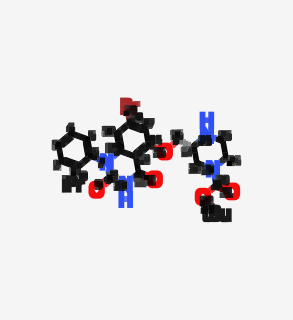 CC(C)c1ccccc1-n1c(=O)[nH]c(=O)c2c(OC[C@H]3CN(C(=O)OC(C)(C)C)CCN3)cc(Br)cc21